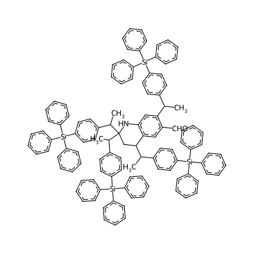 CC(c1ccc([Si](c2ccccc2)(c2ccccc2)c2ccccc2)cc1)c1cc2c(cc1C=O)C(C(C)c1ccc([Si](c3ccccc3)(c3ccccc3)c3ccccc3)cc1)CC(C(C)c1ccc([Si](c3ccccc3)(c3ccccc3)c3ccccc3)cc1)(C(C)c1ccc([Si](c3ccccc3)(c3ccccc3)c3ccccc3)cc1)N2